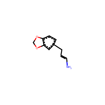 NC=CCc1ccc2c(c1)OCO2